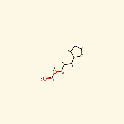 O=[C]OCCCC1CCCC1